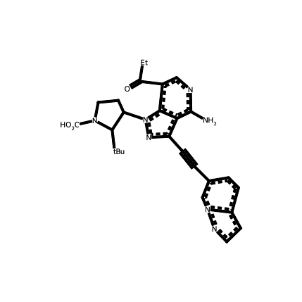 CCC(=O)c1cnc(N)c2c(C#Cc3ccc4ccnn4c3)nn(C3CCN(C(=O)O)C3C(C)(C)C)c12